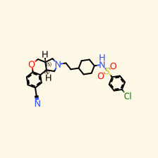 N#Cc1ccc2c(c1)[C@@H]1CN(CCC3CCC(NS(=O)(=O)c4ccc(Cl)cc4)CC3)C[C@H]1CO2